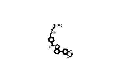 CC(=O)NCCNCc1ccc(C(=O)N2CCc3c(-c4ccc5c(c4)OCCO5)cccc32)cc1